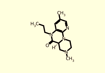 CCCN1C(=O)[C@@H]2CN(C)CCN2c2ncc(C)cc21